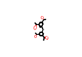 CC(=O)c1cc([CH]c2cc(C(C)=O)cc(C(C)=O)c2)cc(C(C)=O)c1